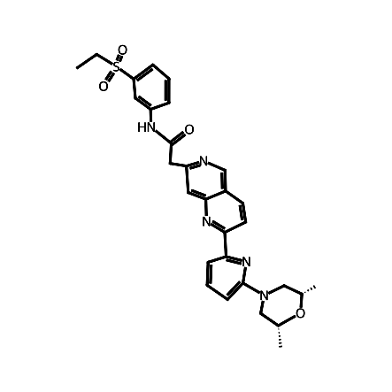 CCS(=O)(=O)c1cccc(NC(=O)Cc2cc3nc(-c4cccc(N5C[C@@H](C)O[C@@H](C)C5)n4)ccc3cn2)c1